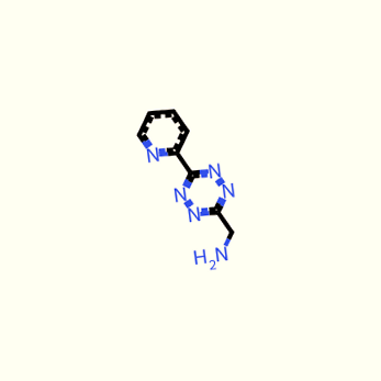 NCc1nnc(-c2ccccn2)nn1